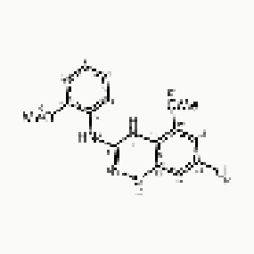 COc1ccccc1NC1=NSc2cc(Cl)cc(OC)c2N1